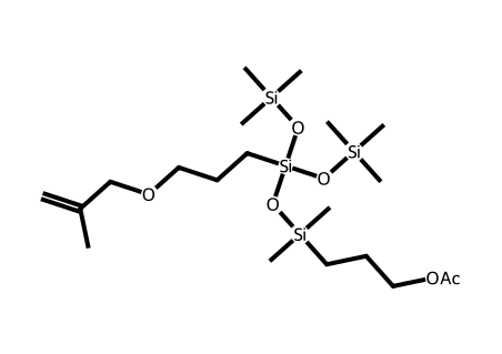 C=C(C)COCCC[Si](O[Si](C)(C)C)(O[Si](C)(C)C)O[Si](C)(C)CCCOC(C)=O